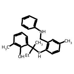 CCC(C)(Pc1ccc(C)cc1CNc1ccccc1)c1cccc(C)c1O